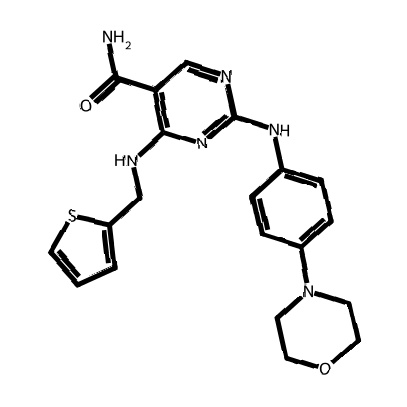 NC(=O)c1cnc(Nc2ccc(N3CCOCC3)cc2)nc1NCc1cccs1